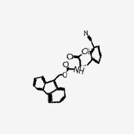 N#Cc1cccc(C[C@H](NC(=O)OCC2c3ccccc3-c3ccccc32)C(=O)O)c1